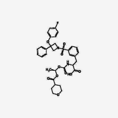 C[C@@H](OC(=O)NC(Cc1cccc(S(=O)(=O)N2CC(Oc3ccc(F)cc3)(c3ccccc3)C2)c1)C(=O)O)OC(=O)C1CCOCC1